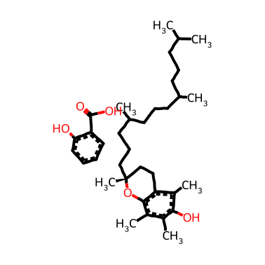 Cc1c(C)c2c(c(C)c1O)CC[C@@](C)(CCCC(C)CCCC(C)CCCC(C)C)O2.O=C(O)c1ccccc1O